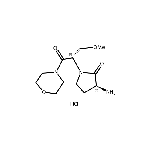 COC[C@@H](C(=O)N1CCOCC1)N1CC[C@H](N)C1=O.Cl